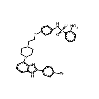 CCc1ccc(-c2nc3c(N4CCN(CCOc5ccc(NS(=O)(=O)c6ccccc6[N+](=O)[O-])cc5)CC4)cccc3[nH]2)cc1